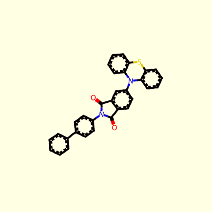 O=C1c2ccc(N3c4ccccc4Sc4ccccc43)cc2C(=O)N1c1ccc(-c2ccccc2)cc1